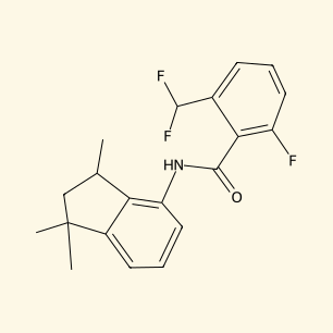 CC1CC(C)(C)c2cccc(NC(=O)c3c(F)cccc3C(F)F)c21